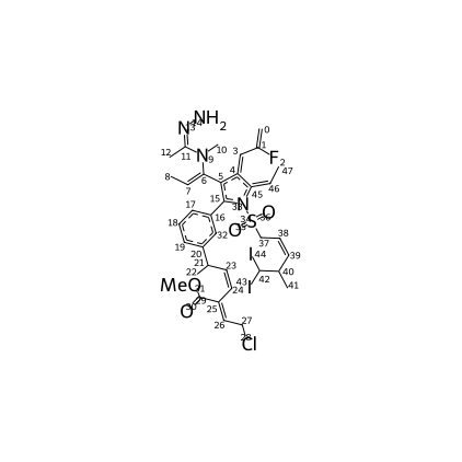 C=C(F)/C=c1/c(/C(=C/C)N(C)/C(C)=N\N)c(-c2cccc(C(C)/C=C\C(=C/CCl)C(=O)OC)c2)n(S(=O)(=O)C/C=C\C(C)C(I)I)/c1=C/C